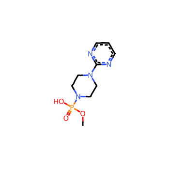 COP(=O)(O)N1CCN(c2ncccn2)CC1